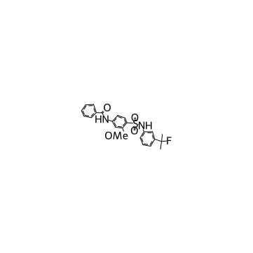 COc1cc(NC(=O)c2ccccc2)ccc1S(=O)(=O)Nc1cccc(C(C)(C)F)c1